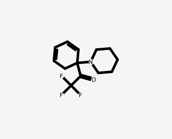 O=C(C(F)(F)F)C1(N2CCCCC2)C=CC=CC1